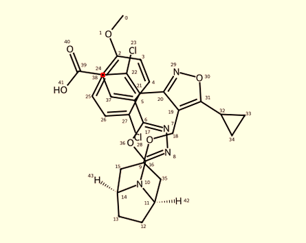 COc1ccc(-c2nnc(N3[C@@H]4CC[C@H]3CC(OCc3c(-c5c(Cl)cccc5Cl)noc3C3CC3)C4)o2)cc1C(=O)O